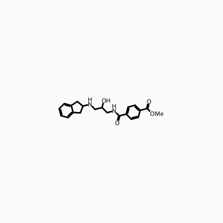 COC(=O)c1ccc(C(=O)NCC(O)CNC2Cc3ccccc3C2)cc1